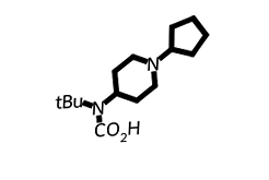 CC(C)(C)N(C(=O)O)C1CCN(C2CCCC2)CC1